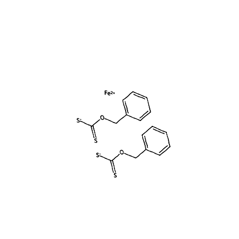 S=C([S-])OCc1ccccc1.S=C([S-])OCc1ccccc1.[Fe+2]